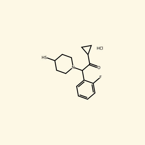 Cl.O=C(C1CC1)C(c1ccccc1F)N1CCC(S)CC1